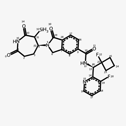 O=C1CC[C@H](N2Cc3cc(C(=O)N[C@H](c4ncccc4F)C4(F)CCC4)ccc3C2=O)C([SiH3])C(=O)N1